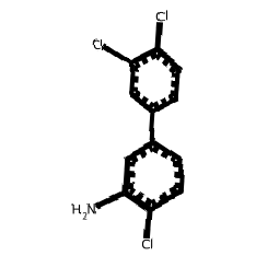 Nc1cc(-c2ccc(Cl)c(Cl)c2)ccc1Cl